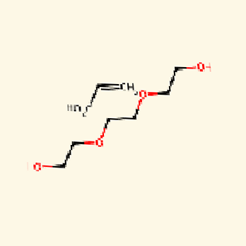 C=CC(=O)O.OCCOCCOCCO